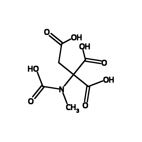 CN(C(=O)O)C(CC(=O)O)(C(=O)O)C(=O)O